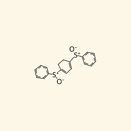 [O-][S+](C1=CC=C([S+]([O-])c2ccccc2)CC1)c1ccccc1